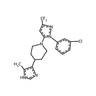 Cc1[nH]cnc1C1CCN(c2cc(C(F)(F)F)nn2-c2cccc(Cl)c2)CC1